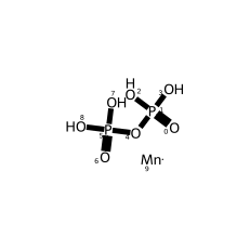 O=P(O)(O)OP(=O)(O)O.[Mn]